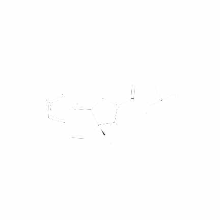 CC(C)(C)OC(=O)N1C[C@@H]2OCc3cnnn3[C@H]2C1